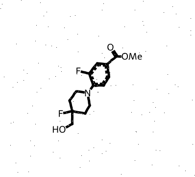 COC(=O)c1ccc(N2CCC(F)(CO)CC2)c(F)c1